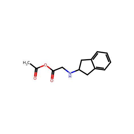 CC(=O)OC(=O)CNC1Cc2ccccc2C1